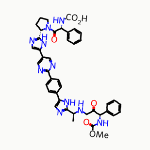 COC(=O)N[C@@H](C(=O)CN[C@@H](C)c1ncc(-c2ccc(-c3ncc(-c4cnc([C@@H]5CCCN5C(=O)[C@H](NC(=O)O)c5ccccc5)[nH]4)cn3)cc2)[nH]1)c1ccccc1